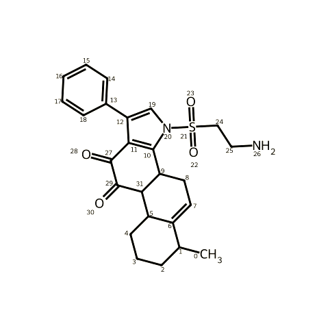 CC1CCCC2C1=CCC1c3c(c(-c4ccccc4)cn3S(=O)(=O)CCN)C(=O)C(=O)C21